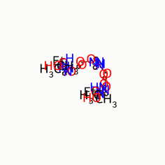 CCOCc1nc2c(NC(=O)CCc3ccc(OC(=O)CCCCC(=O)N4Cc5ccccc5-c5c(nnn5CCCCC(=O)Oc5ccc(COC(=O)Nc6nc7ccccc7c7c6nc(COCC)n7CC(C)(C)O)cc5)-c5ccccc54)cc3)nc3ccccc3c2n1CC(C)(C)O